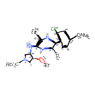 CCO[C@H]1CN(C(=O)O)C[C@H]1Nc1nc(CC)c(-c2ccc(OC)cc2Cl)nc1CC